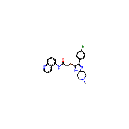 CN1CCC2(CC1)N=C(SCC(=O)Nc1cccc3ncccc13)C(c1ccc(Br)cc1)=N2